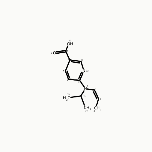 C/C=C\N(c1ccc(C(=O)O)cn1)C(C)C